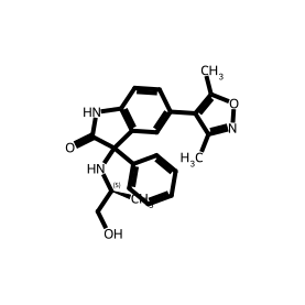 Cc1noc(C)c1-c1ccc2c(c1)C(N[C@@H](C)CO)(c1ccccc1)C(=O)N2